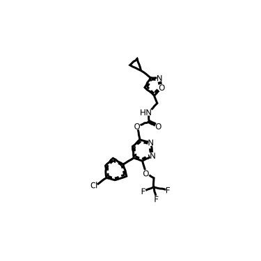 O=C(NCc1cc(C2CC2)no1)Oc1cc(-c2ccc(Cl)cc2)c(OCC(F)(F)F)nn1